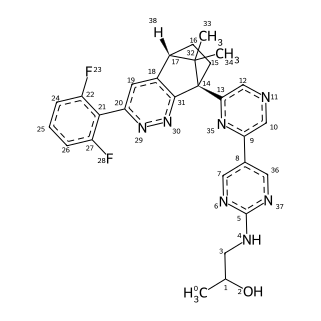 CC(O)CNc1ncc(-c2cncc([C@@]34CC[C@@H](c5cc(-c6c(F)cccc6F)nnc53)C4(C)C)n2)cn1